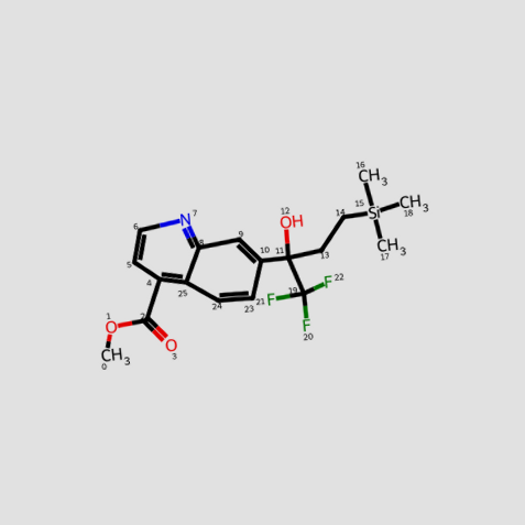 COC(=O)c1ccnc2cc(C(O)(CC[Si](C)(C)C)C(F)(F)F)ccc12